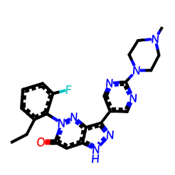 CCc1cccc(F)c1-n1nc2c(-c3cnc(N4CCN(C)CC4)nc3)n[nH]c2cc1=O